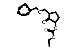 CCOC(=O)OC1CCC(COCc2ccccc2)C1=O